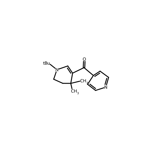 CC1(C)CCN(C(C)(C)C)C=C1C(=O)c1ccncc1